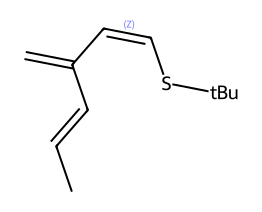 C=C(C=CC)/C=C\SC(C)(C)C